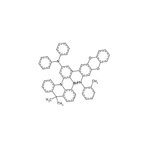 Cc1ccccc1Nc1cc2c(cc1-c1cc(N(c3ccccc3)c3ccccc3)cc3c1Bc1cccc4c1N3c1ccccc1C4(C)C)Oc1ccccc1O2